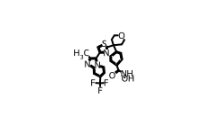 Cc1nc2cc(C(F)(F)F)ccn2c1-c1csc(C2(c3ccc(C(=O)NO)cc3)CCOCC2)n1